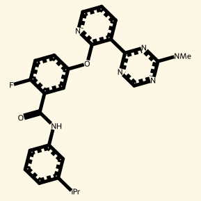 CNc1ncnc(-c2cccnc2Oc2ccc(F)c(C(=O)Nc3cccc(C(C)C)c3)c2)n1